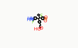 CS(=O)(=O)c1ccc(/C(=C(\c2ccc(/C=C/C(=O)O)cc2)c2ccc3c(c2)C(F)NN3)C2CCC2)c(F)c1